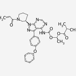 C=CC(=O)N1CCC[C@@H](n2nc(-c3ccc(Oc4ccccc4)cc3)c3c(NC(=O)O[C@H](C)OC(=O)C(C)C)ncnc32)C1